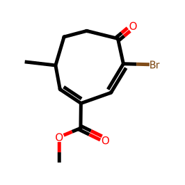 COC(=O)C1=C/C(C)CCC(=O)/C(Br)=C\1